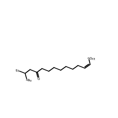 CCCCCCCC/C=C\CCCCCCCC(=O)[CH]C(CC)CCCC